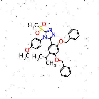 COc1ccc(-n2c(-c3cc(C(C)C)c(OCc4ccccc4)cc3OCc3ccccc3)nnc2S(C)(=O)=O)cc1